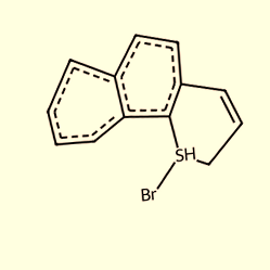 Br[SH]1CC=Cc2ccc3ccccc3c21